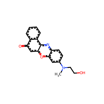 CN(CCO)c1ccc2nc3c4ccccc4c(=O)cc-3oc2c1